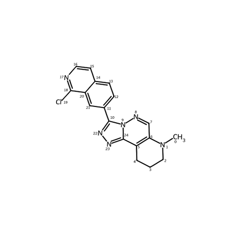 CN1CCCc2c1cnn1c(-c3ccc4ccnc(Cl)c4c3)nnc21